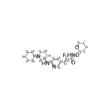 O=C(NOC1CCCCO1)/C(F)=C/c1ccc(N[C@@H]2CCCN(C3CCCCC3)C2)nc1